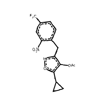 CC(=O)Oc1c(Cc2ccc(C(F)(F)F)cc2[N+](=O)[O-])noc1C1CC1